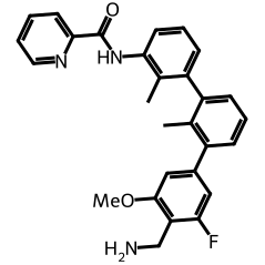 COc1cc(-c2cccc(-c3cccc(NC(=O)c4ccccn4)c3C)c2C)cc(F)c1CN